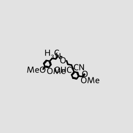 COC(=O)c1cccc(C(C#N)(C=O)CCCOCN(C)CCc2ccc(OC)c(OC)c2)c1